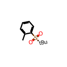 Cc1ccccc1S(=O)(=O)C(C)(C)C